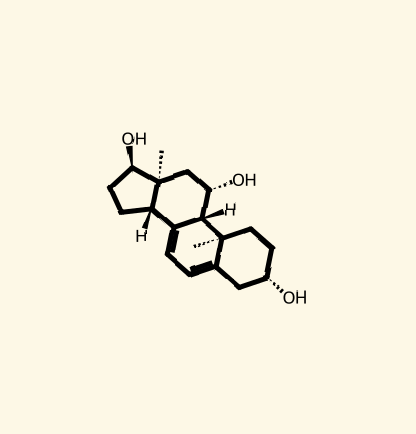 C[C@]12C[C@H](O)[C@H]3C(=CC=C4C[C@@H](O)CC[C@@]43C)[C@@H]1CC[C@H]2O